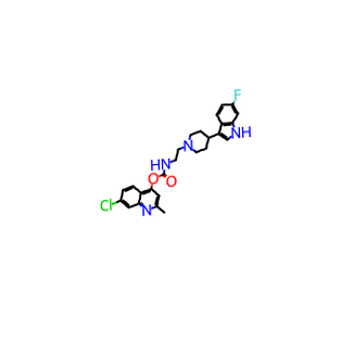 Cc1cc(OC(=O)NCCN2CCC(c3c[nH]c4cc(F)ccc34)CC2)c2ccc(Cl)cc2n1